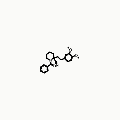 COc1ccc(CCC2(C#N)CCCCN2C(=O)c2ccccc2)cc1OC